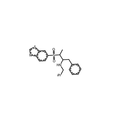 CC(C)CN[C](Cc1ccccc1)C(C)S(=O)(=O)c1ccc2ncsc2c1